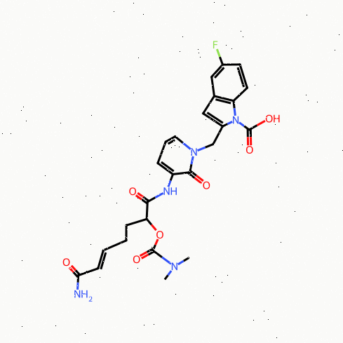 CN(C)C(=O)OC(CC/C=C/C(N)=O)C(=O)Nc1cccn(Cc2cc3cc(F)ccc3n2C(=O)O)c1=O